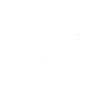 C[C@@H]1CCC[C@@](O)(C#Cc2nc(N)c3[nH]cnc3n2)C1